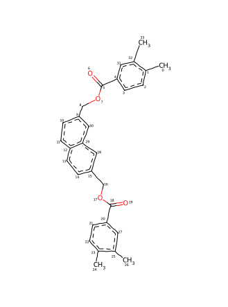 Cc1ccc(C(=O)OCc2ccc3ccc(COC(=O)c4ccc(C)c(C)c4)cc3c2)cc1C